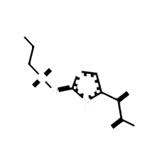 CCCS(=O)(=O)N=c1[nH]c(C(=O)C(=O)O)cs1